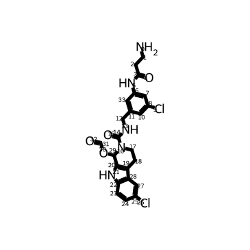 NCCC(=O)Nc1cc(Cl)cc(CNC(=O)N2CCc3c([nH]c4ccc(Cl)cc34)C2OC=O)c1